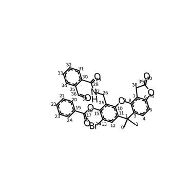 CC1(C)c2ccc3c(c2Oc2c1cc(Br)c(OC(=O)c1ccccc1)c2CNC(=O)c1ccccc1C=O)CC(=O)O3